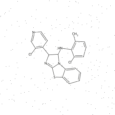 Cc1cccc(Cl)c1NC1C(c2ccncc2Cl)N=C2Sc3ccccc3N21